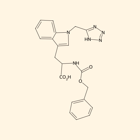 O=C(NC(Cc1cn(Cc2nnn[nH]2)c2ccccc12)C(=O)O)OCc1ccccc1